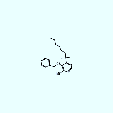 CCCCCCC(C)(C)c1cccc(Br)c1OCc1ccccc1